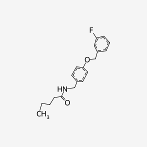 CCCCC(=O)NCc1ccc(OCc2cccc(F)c2)cc1